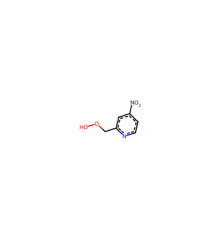 O=[N+]([O-])c1ccnc(COO)c1